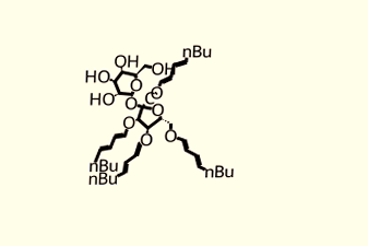 CCCCC=CC=COC[C@H]1O[C@@](COC=CC=CCCCC)(O[C@H]2O[C@H](CO)[C@@H](O)[C@H](O)[C@H]2O)[C@@H](OC=CC=CCCCC)[C@@H]1OC=CC=CCCCC